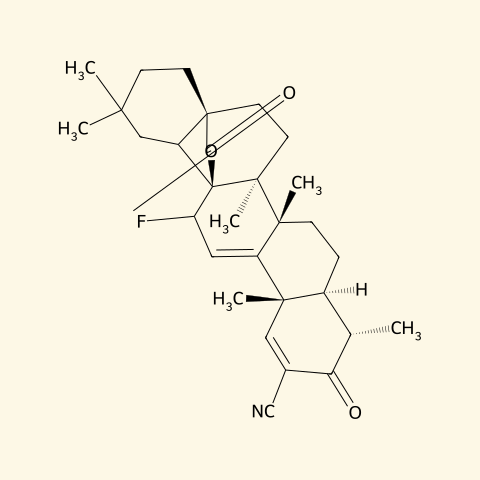 C[C@@H]1C(=O)C(C#N)=C[C@]2(C)C3=CC(F)[C@]45OC(=O)[C@@]6(CCC(C)(C)CC64)CC[C@@]5(C)[C@]3(C)CC[C@@H]12